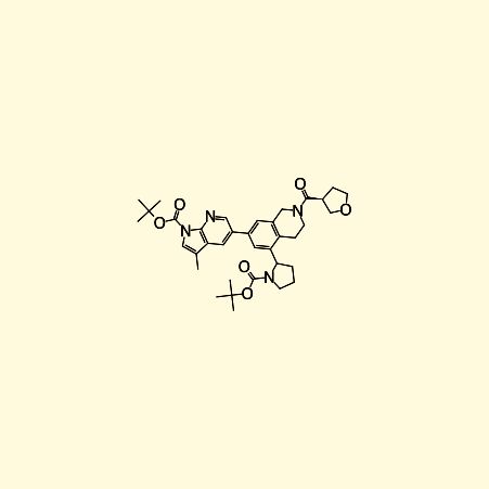 Cc1cn(C(=O)OC(C)(C)C)c2ncc(-c3cc4c(c(C5CCCN5C(=O)OC(C)(C)C)c3)CCN(C(=O)[C@H]3CCOC3)C4)cc12